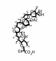 CC[C@@H](C(=O)[C@@H](C)[C@@H](OC(C)=O)[C@H](C)[C@@H]1O[C@@H]([C@@H](CC)C(=O)O)CC[C@@H]1C)[C@H]1O[C@]2(C=C[C@@H](OC(C)=O)[C@]3(CC[C@@](C)([C@H]4CC[C@](O)(CC)[C@H](C)O4)O3)O2)[C@H](C)C[C@@H]1C